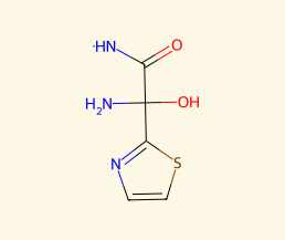 [NH]C(=O)C(N)(O)c1nccs1